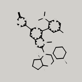 CN(C)c1ncc(Cl)cc1-c1nc(-c2noc(=O)[nH]2)cc2nc(N3CCO[C@H]4CCC[C@@H]43)n(C[C@H]3CC[C@H](C)CC3)c12